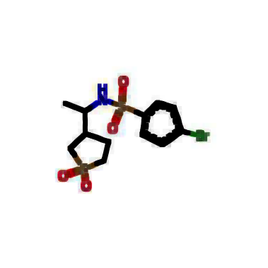 CC(NS(=O)(=O)c1ccc(Br)cc1)C1CCS(=O)(=O)C1